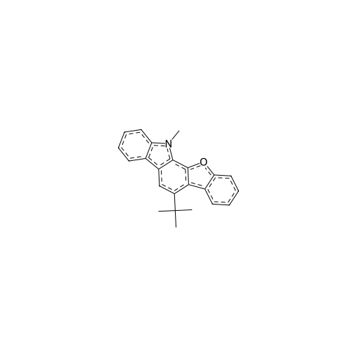 Cn1c2ccccc2c2cc(C(C)(C)C)c3c4ccccc4oc3c21